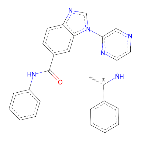 C[C@H](Nc1cncc(-n2cnc3ccc(C(=O)Nc4ccccc4)cc32)n1)c1ccccc1